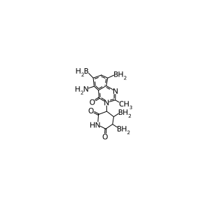 Bc1cc(B)c2nc(C)n(C3C(=O)NC(=O)C(B)C3B)c(=O)c2c1N